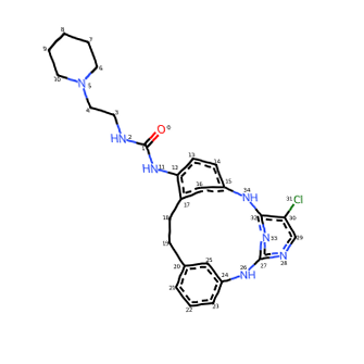 O=C(NCCN1CCCCC1)Nc1ccc2cc1CCc1cccc(c1)Nc1ncc(Cl)c(n1)N2